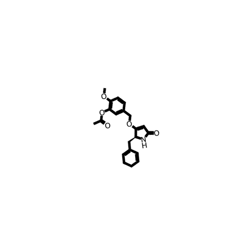 COc1ccc(COC2=CC(=O)N[C@H]2CC2=CCCC=C2)cc1OC(C)=O